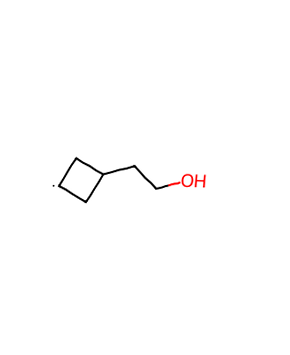 OCCC1C[CH]C1